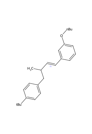 CCCCOc1cccc(/C=C/C(C)Cc2ccc(C(C)(C)C)cc2)c1